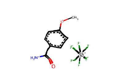 COc1ccc(C([NH3+])=O)cc1.[F][Sb-]([F])([F])([F])([F])[F]